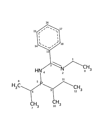 CC/N=C(/NP(C(C)C)C(C)CC)c1ccccc1